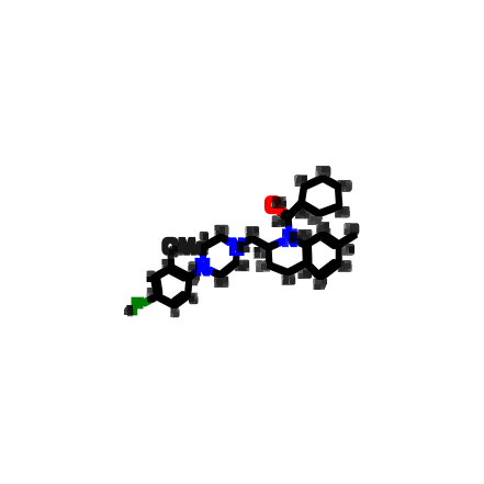 COc1cc(F)ccc1N1CCN(CC2CCc3ccc(C)cc3N2C(=O)C2CCCCC2)CC1